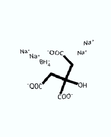 O=C([O-])CC(O)(CC(=O)[O-])C(=O)[O-].[BH4-].[Na+].[Na+].[Na+].[Na+]